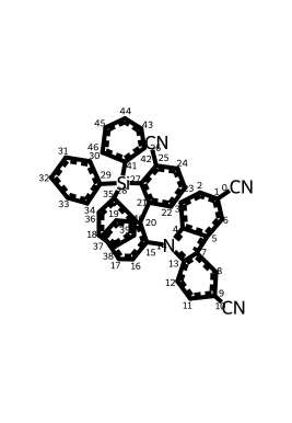 N#Cc1ccc2c(c1)c1cc(C#N)ccc1n2-c1ccccc1-c1cccc(C#N)c1[Si](c1ccccc1)(c1ccccc1)c1ccccc1